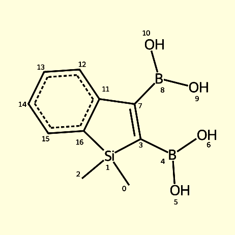 C[Si]1(C)C(B(O)O)=C(B(O)O)c2ccccc21